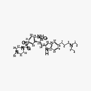 CCN(CC)CCCc1ccc2[nH]c(C=C3C(=O)Nc4ccc(S(=O)(=O)N5CCN(C)CC5)cc43)cc2c1